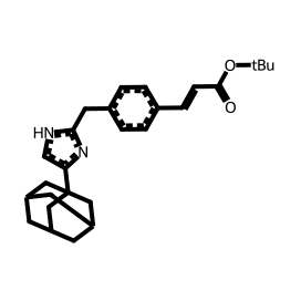 CC(C)(C)OC(=O)/C=C/c1ccc(Cc2nc(C34CC5CC(CC(C5)C3)C4)c[nH]2)cc1